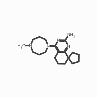 CN1CCCN(c2nc(N)nc3c2CCCC32CCCC2)CCC1